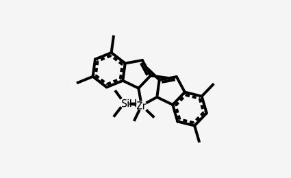 CC1=Cc2c(C)cc(C)cc2[CH]1[Zr]([CH3])([CH3])([CH]1C(C)=Cc2c(C)cc(C)cc21)[SiH](C)C